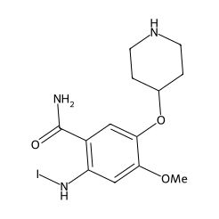 COc1cc(NI)c(C(N)=O)cc1OC1CCNCC1